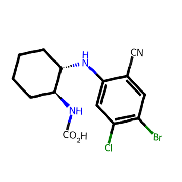 N#Cc1cc(Br)c(Cl)cc1N[C@H]1CCCC[C@@H]1NC(=O)O